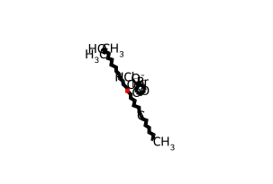 CCCCCCCCCCCCCCCCCCCCCCCCCCCC(C)(C)O.Cl.O=[N+]([O-])C1(Br)COCOC1